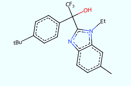 CCn1c(C(O)(c2ccc(C(C)(C)C)cc2)C(F)(F)F)nc2ccc(C)cc21